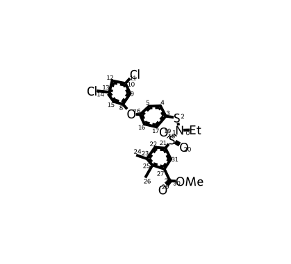 CCN(Sc1ccc(Oc2cc(Cl)cc(Cl)c2)cc1)S(=O)(=O)c1cc(C)c(C)c(C(=O)OC)c1